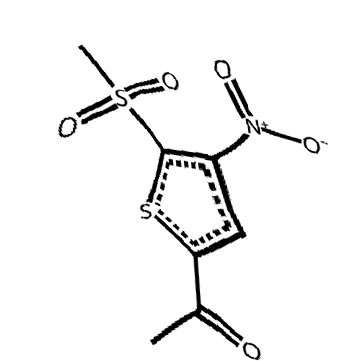 CC(=O)c1cc([N+](=O)[O-])c(S(C)(=O)=O)s1